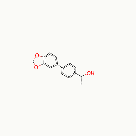 CC(O)c1ccc(-c2ccc3c(c2)OCO3)cc1